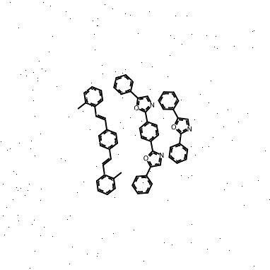 Cc1ccccc1C=Cc1ccc(C=Cc2ccccc2C)cc1.c1ccc(-c2cnc(-c3ccc(-c4ncc(-c5ccccc5)o4)cc3)o2)cc1.c1ccc(-c2cnc(-c3ccccc3)o2)cc1